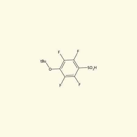 CC(C)(C)Oc1c(F)c(F)c(S(=O)(=O)O)c(F)c1F